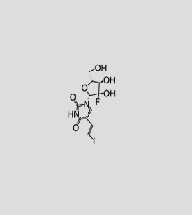 O=c1[nH]c(=O)n([C@@H]2O[C@H](CO)[C@@H](O)[C@]2(O)F)cc1C=CI